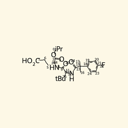 CC(C)OC(=O)[C@@H](CCC(=O)O)NC(=O)[C@@H](NC(=O)C(C)(C)c1ccc(F)cc1)C(C)(C)C